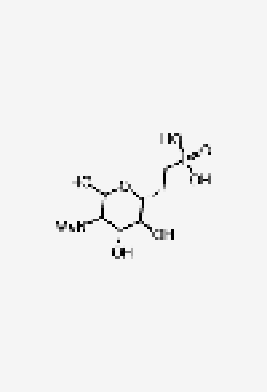 CN[C@H]1C(O)O[C@H](CCP(=O)(O)O)[C@@H](O)[C@@H]1O